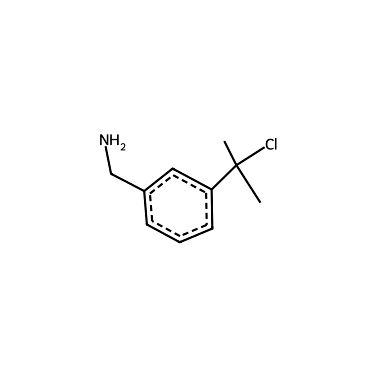 CC(C)(Cl)c1cccc(CN)c1